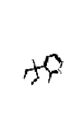 CCC(C)(CC)c1cccnc1C